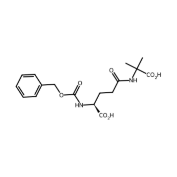 CC(C)(NC(=O)CC[C@H](NC(=O)OCc1ccccc1)C(=O)O)C(=O)O